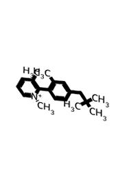 Cc1cc(CC(C)(C)C)ccc1-c1c(C)ccc[n+]1C